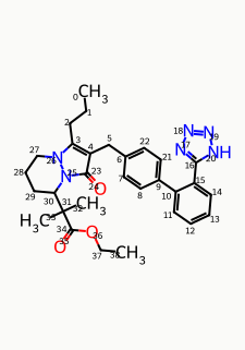 CCCc1c(Cc2ccc(-c3ccccc3-c3nnn[nH]3)cc2)c(=O)n2n1CCCC2C(C)(C)C(=O)OCC